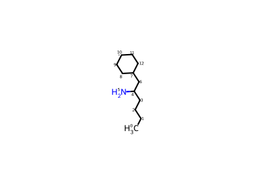 CCCCC(N)CC1CC[CH]CC1